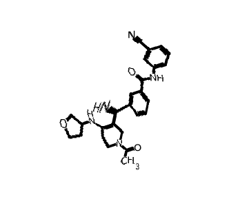 CC(=O)N1CCC(NC2CCOC2)=C(C(=N)c2cccc(C(=O)Nc3cccc(C#N)c3)c2)C1